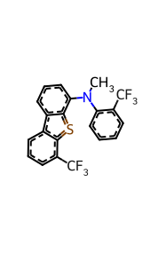 CN(c1ccccc1C(F)(F)F)c1cccc2c1sc1c(C(F)(F)F)cccc12